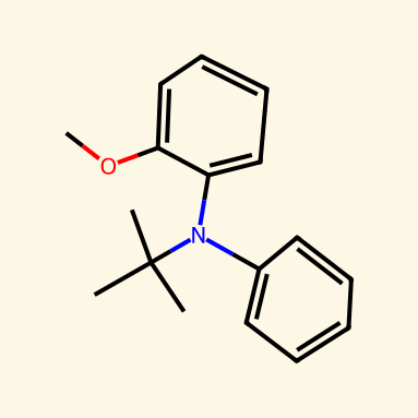 COc1ccccc1N(c1ccccc1)C(C)(C)C